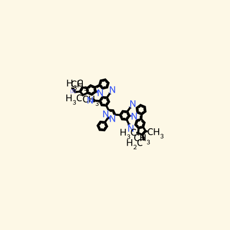 C=CC1=C(C)c2cc3c4ccccc4n(-c4c(C#N)cc(-c5cc(-c6cc(C#N)c(-n7c8ccccc8c8cc9c(cc87)C(C)(C)C(/C=C\C)=C9C)c(C#N)c6)nc(-c6ccccc6)n5)cc4C#N)c3cc2C1(C)C